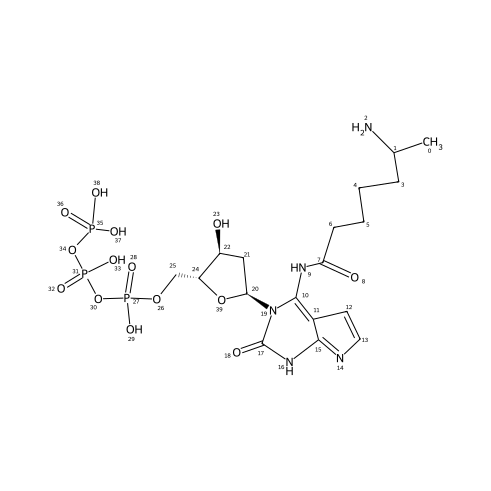 CC(N)CCCCC(=O)Nc1c2ccnc-2[nH]c(=O)n1[C@@H]1C[C@H](O)[C@@H](COP(=O)(O)OP(=O)(O)OP(=O)(O)O)O1